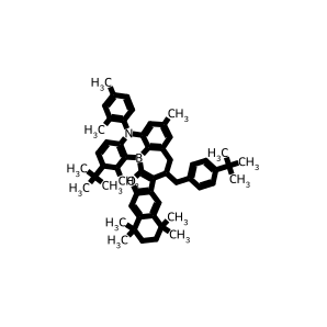 Cc1ccc(N2C3=C(B4c5oc6cc7c(cc6c5C(Cc5ccc(C(C)(C)C)cc5)Cc5cc(C)cc2c54)C(C)(C)CCC7(C)C)C(C)C(C(C)(C)C)C=C3)c(C)c1